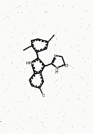 Cc1ccc(C)c(-c2[nH]c3ccc(Cl)cc3c2C2=NCCN2)c1.Cl